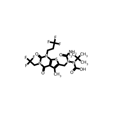 Cc1c(CN(C(N)=O)N(C(=O)O)C(C)(C)C)sc2c1c(=O)n(CC(F)(F)F)c(=O)n2CCC(F)(F)F